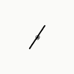 CCCCCCC=CCCCCCCCCCC(=O)OC(=O)CCCCCCCCC/C=C/CCCCCC